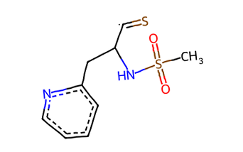 CS(=O)(=O)NC([C]=S)Cc1ccccn1